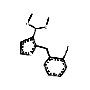 COC(OC)c1ccsc1Cc1ccccc1F